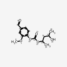 COc1cc(C=O)ccc1OC(=O)OC(C)CC(C)O